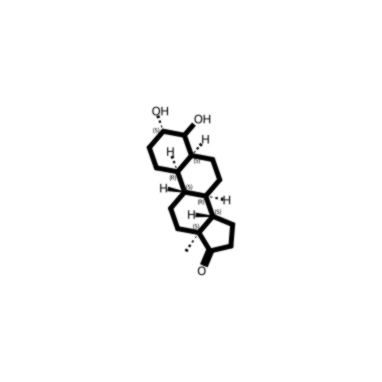 C[C@]12CC[C@@H]3[C@H]4CC[C@H](O)C(O)[C@H]4CC[C@H]3[C@@H]1CCC2=O